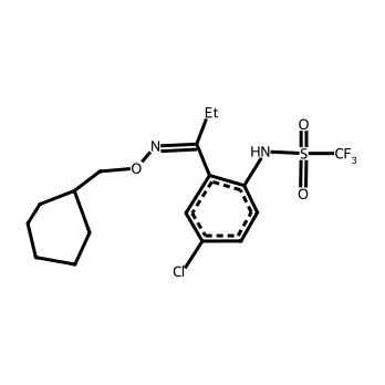 CC/C(=N/OCC1CCCCC1)c1cc(Cl)ccc1NS(=O)(=O)C(F)(F)F